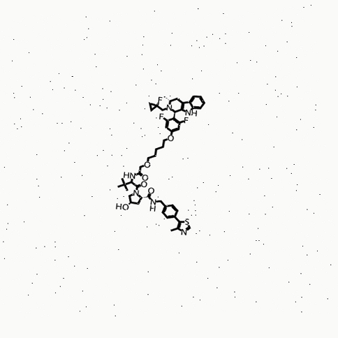 Cc1ncsc1-c1ccc(CNC(=O)[C@@H]2C[C@@H](O)CN2C(=O)C(NC(=O)COCCCCCOc2cc(F)c([C@@H]3c4[nH]c5ccccc5c4C[C@@H](C)N3CC3(F)CC3)c(F)c2)C(C)(C)C)cc1